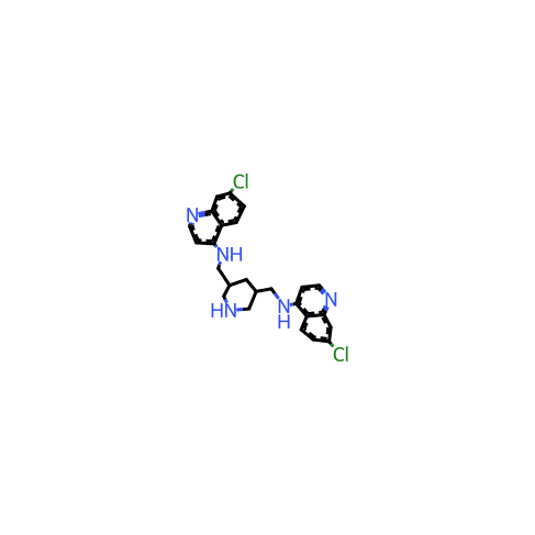 Clc1ccc2c(NCC3CNCC(CNc4ccnc5cc(Cl)ccc45)C3)ccnc2c1